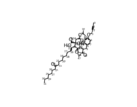 CC#CCOc1ccc(C[C@H](NC(=O)[C@@H](/C=C/CCCCCCC(=O)CCCCCCC)[C@@](O)(CC(=O)OC(C)C)C(=O)O)C(=O)OC)cc1